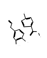 C=CCc1ccc(O)c(OC)c1.CCCOC(=O)c1ccc(O)cc1